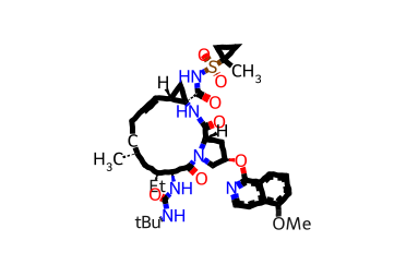 CC[C@@H]1C[C@H](C)CC/C=C\[C@@H]2C[C@@]2(C(=O)NS(=O)(=O)C2(C)CC2)NC(=O)[C@@H]2C[C@@H](Oc3nccc4c(OC)cccc34)CN2C(=O)[C@H]1NC(=O)NC(C)(C)C